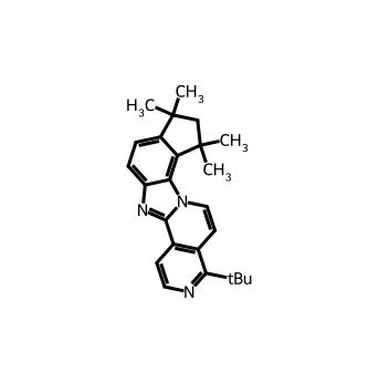 CC(C)(C)c1nccc2c1ccn1c2nc2ccc3c(c21)C(C)(C)CC3(C)C